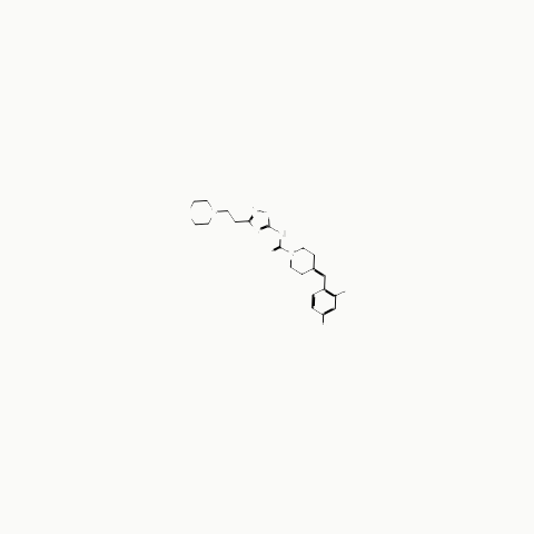 O=C(Nc1nc(CCN2CCOCC2)ns1)N1CCC(=Cc2ccc(Cl)cc2F)CC1